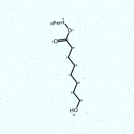 CCCCCOC(=O)CCCCCCCO